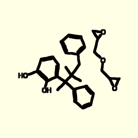 C(OCC1CO1)C1CO1.CC(C)(Cc1ccccc1)C(C)(c1ccccc1)c1cccc(O)c1O